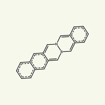 C1=c2ccccc2=CN2C=c3cc4ccccc4cc3=CB12